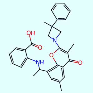 Cc1cc(C(C)Nc2ccccc2C(=O)O)c2oc(N3CC(C)(c4ccccc4)C3)c(C)c(=O)c2c1